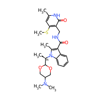 CSc1cc(C)[nH]c(=O)c1CNC(=O)c1c(C)n([C@H](C)C2OCC(N(C)C)CO2)c2ccccc12